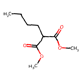 [CH2]CCCC(C(=O)OC)C(=O)OC